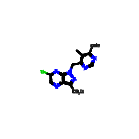 CCOC(=O)c1nn(Cc2ncnc(OC)c2C)c2nc(Cl)cnc12